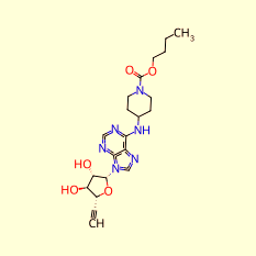 C#C[C@H]1O[C@@H](n2cnc3c(NC4CCN(C(=O)OCCCC)CC4)ncnc32)[C@@H](O)[C@@H]1O